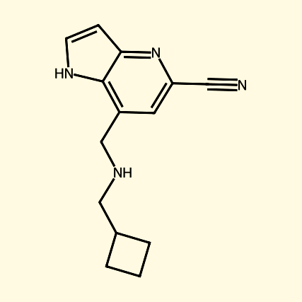 N#Cc1cc(CNCC2CCC2)c2[nH]ccc2n1